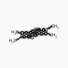 CCCCCCOc1ccc(-c2cnc(C(=O)Oc3ccc4cc(-c5ccc(C6CCC(CCC)CC6)cc5)ccc4c3-c3c(OC(=O)c4ncc(-c5ccc(OCCCCCC)cc5)cn4)ccc4cc(-c5ccc(C6CCC(CCC)CC6)cc5)ccc34)nc2)cc1